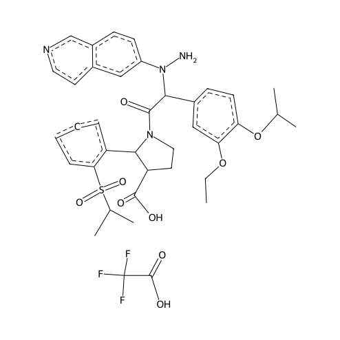 CCOc1cc(C(C(=O)N2CCC(C(=O)O)C2c2ccccc2S(=O)(=O)C(C)C)N(N)c2ccc3cnccc3c2)ccc1OC(C)C.O=C(O)C(F)(F)F